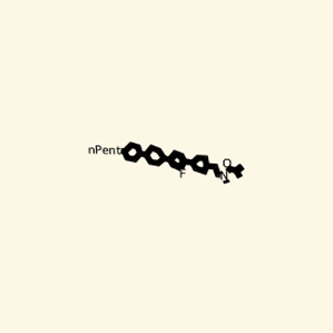 C=C(C)C(=O)N(C)CCC1CCC(c2ccc(C3CCC(C4CCC(CCCCC)CC4)CC3)cc2F)CC1